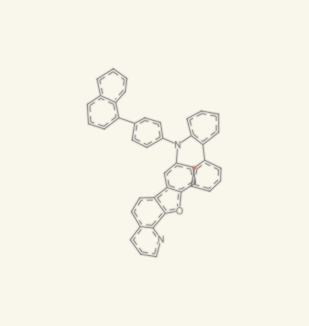 c1ccc(-c2ccccc2N(c2ccc(-c3cccc4ccccc34)cc2)c2ccc3oc4c(ccc5cccnc54)c3c2)cc1